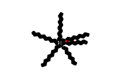 CCCCCCCCC[CH2][Ti]([CH2]CCCCCCCCC)([CH2]CCCCCCCCC)([CH2]CCCCCCCCC)[P](CCCCCCCC)CCCCCCCC